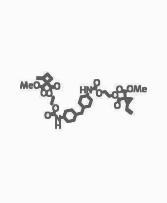 C=CC1CC1(C(=O)OC)C(=O)OCCOC(=O)NC1CCC(CC2CCC(NC(=O)OCCOC(=O)C3(C(=O)OC)CCC3=C)CC2)CC1